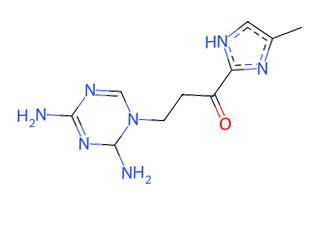 Cc1c[nH]c(C(=O)CCN2C=NC(N)=NC2N)n1